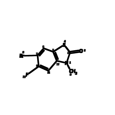 Cn1c(=O)sc2cc(Br)c(F)cc21